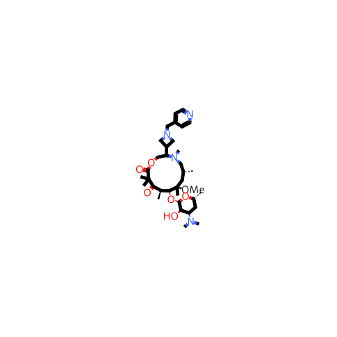 CO[C@]1(C)C[C@@H](C)CN(C)C(C2CN(Cc3ccncc3)C2)COC(=O)C(C)(C)C(=O)[C@H](C)[C@H]1O[C@@H]1O[C@H](C)C[C@H](N(C)C)[C@H]1O